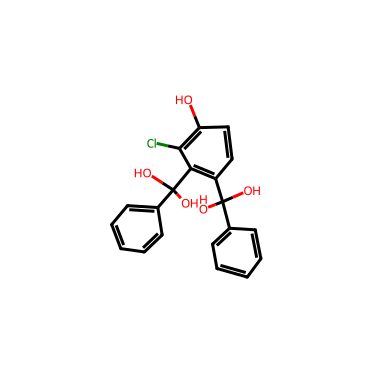 Oc1ccc(C(O)(O)c2ccccc2)c(C(O)(O)c2ccccc2)c1Cl